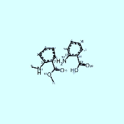 CNc1ccccc1C(=O)OC.Nc1ccccc1C(=O)O